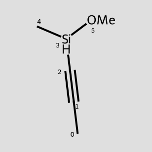 CC#C[SiH](C)OC